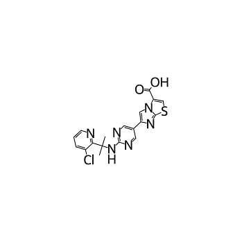 CC(C)(Nc1ncc(-c2cn3c(C(=O)O)csc3n2)cn1)c1ncccc1Cl